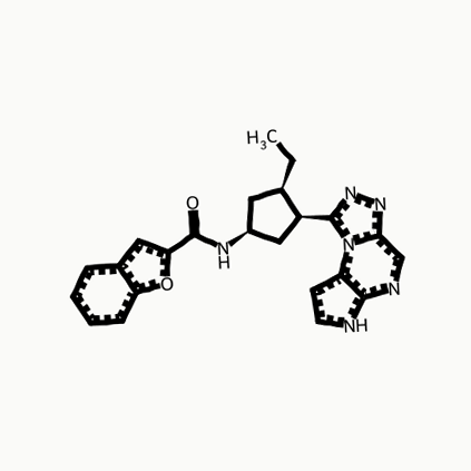 CC[C@@H]1C[C@H](NC(=O)c2cc3ccccc3o2)C[C@@H]1c1nnc2cnc3[nH]ccc3n12